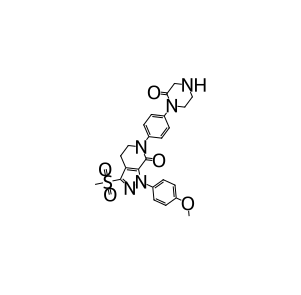 COc1ccc(-n2nc(S(C)(=O)=O)c3c2C(=O)N(c2ccc(N4CCNCC4=O)cc2)CC3)cc1